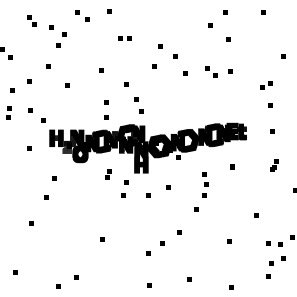 CCN1CCN(C2CCN(c3ccc(Nc4nccc(N5CCN(C(N)=O)CC5)n4)cc3)CC2)CC1